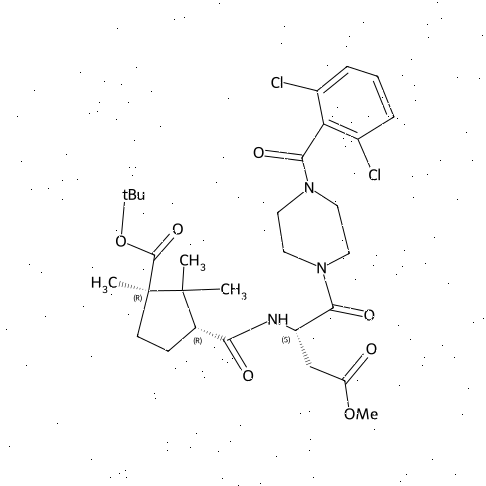 COC(=O)C[C@H](NC(=O)[C@@H]1CC[C@@](C)(C(=O)OC(C)(C)C)C1(C)C)C(=O)N1CCN(C(=O)c2c(Cl)cccc2Cl)CC1